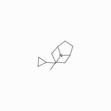 CC1CC2CCC(C1)N2CC1CC1